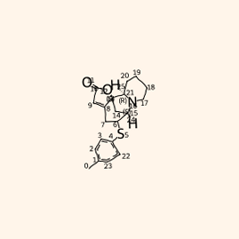 Cc1ccc(SC2CC3=CC(=O)O[C@@]34C[C@@H]2N2CCCC[C@@H]24)cc1